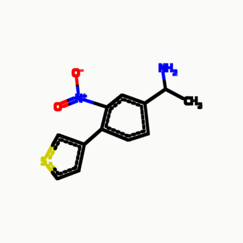 CC(N)c1ccc(-c2ccsc2)c([N+](=O)[O-])c1